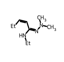 CC/C=C\C(=N/N(C)C)NCC